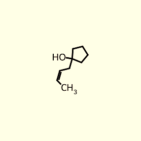 C/C=C\CC1(O)CCCC1